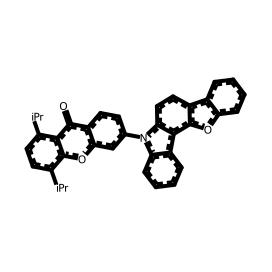 CC(C)c1ccc(C(C)C)c2c(=O)c3ccc(-n4c5ccccc5c5c6oc7ccccc7c6ccc54)cc3oc12